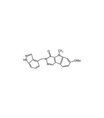 COc1ccc2c3cnn(Cc4cccc5[nH]ncc45)c(=O)c3n(C)c2c1